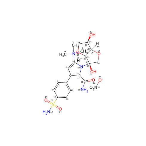 C[N+](C)(C)c1cc(-c2ccc(S(N)(=O)=O)cc2)c(C(N)=O)n1[C@@]1(O)CO[C@@H]2[C@H](O)CO[C@@H]21.O=[N+]([O-])[O-]